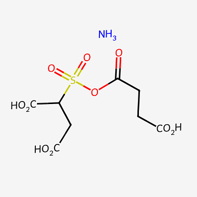 N.O=C(O)CCC(=O)OS(=O)(=O)C(CC(=O)O)C(=O)O